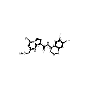 COCc1cc(C(C)C)n2ccc(C(=O)NC3CCOc4cc(F)c(F)cc43)c2n1